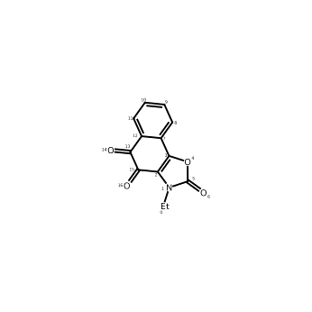 CCn1c2c(oc1=O)-c1ccccc1C(=O)C2=O